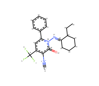 [C-]#[N+]c1c(C(F)(F)F)cc(-c2ccccc2)n(/N=C2\CCCCC2CC)c1=O